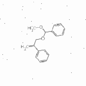 C=C(COC(OC)c1ccccc1)c1ccccc1